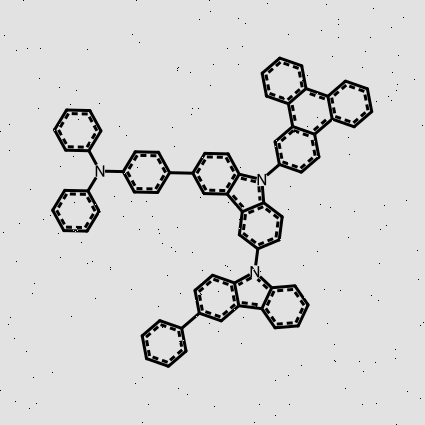 c1ccc(-c2ccc3c(c2)c2ccccc2n3-c2ccc3c(c2)c2cc(-c4ccc(N(c5ccccc5)c5ccccc5)cc4)ccc2n3-c2ccc3c4ccccc4c4ccccc4c3c2)cc1